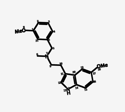 COc1cccc(CN(C)CCc2c[nH]c3ccc(OC)cc23)c1